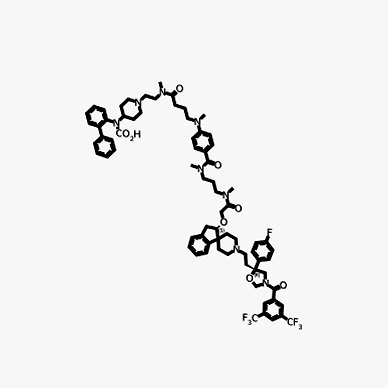 CN(CCN1CCC(N(C(=O)O)c2ccccc2-c2ccccc2)CC1)C(=O)CCCN(C)c1ccc(C(=O)N(C)CCCN(C)C(=O)CO[C@H]2Cc3ccccc3C23CCN(CC[C@@]2(c4ccc(F)cc4)CN(C(=O)c4cc(C(F)(F)F)cc(C(F)(F)F)c4)CO2)CC3)cc1